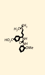 COc1ccccc1NC(=O)NC(CCCN(C)C)c1ccc(C(=O)O)cc1